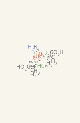 CC(C)(CCOP(=O)(CCN)OCCC(C)(C)C(=O)O)C(=O)O.Cl